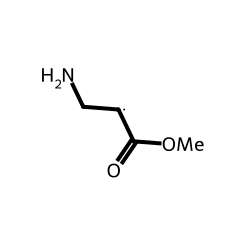 COC(=O)[CH]CN